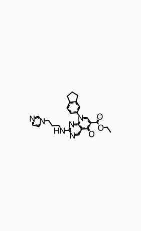 CCOC(=O)c1cn(-c2ccc3c(c2)CCC3)c2nc(NCCCn3ccnc3)ncc2c1=O